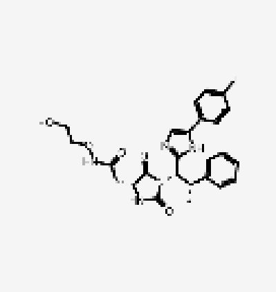 C[C@@H](c1ccccc1)[C@@H](c1ncc(-c2ccc(I)cc2)[nH]1)N1C(=O)N[C@H](CC(=O)NOCCO)C1=O